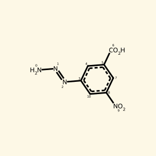 NN=Nc1cc(C(=O)O)cc([N+](=O)[O-])c1